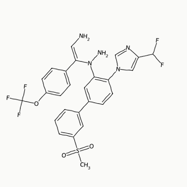 CS(=O)(=O)c1cccc(-c2ccc(-n3cnc(C(F)F)c3)c(N(N)/C(=C\N)c3ccc(OC(F)(F)F)cc3)c2)c1